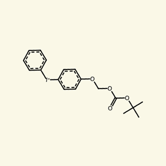 CC(C)(C)OC(=O)OCOc1ccc([I+]c2ccccc2)cc1